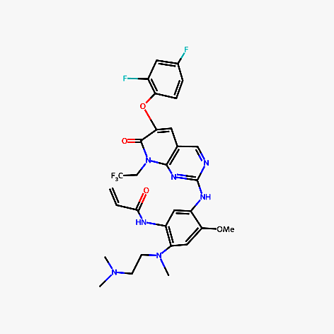 C=CC(=O)Nc1cc(Nc2ncc3cc(Oc4ccc(F)cc4F)c(=O)n(CC(F)(F)F)c3n2)c(OC)cc1N(C)CCN(C)C